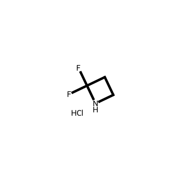 Cl.FC1(F)CCN1